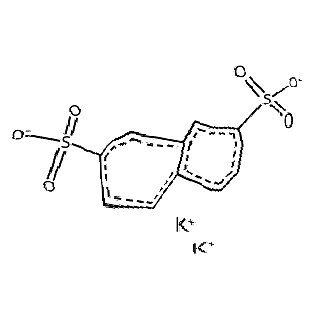 O=S(=O)([O-])c1ccc2ccc(S(=O)(=O)[O-])cc2c1.[K+].[K+]